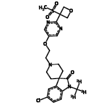 [2H]C([2H])([2H])N1C(=O)C2(CCN(CCOc3cnc(C4(S(C)(=O)=O)COC4)nc3)CC2)c2cc(Cl)ccc21